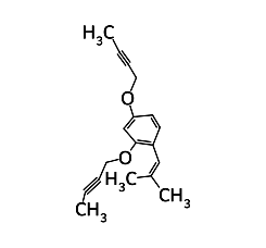 CC#CCOc1ccc(C=C(C)C)c(OCC#CC)c1